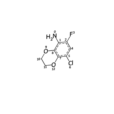 Nc1c(F)cc(Cl)c2c1OCCO2